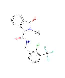 CN1C(=O)c2ccccc2C1C(=O)NCc1cccc(C(F)(F)F)c1Cl